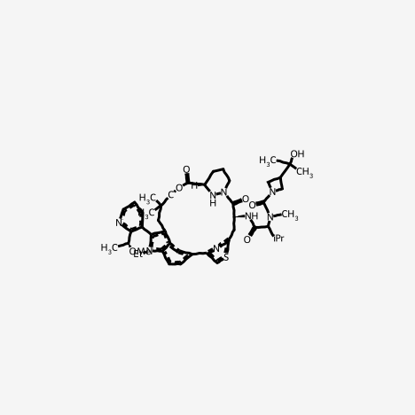 CCn1c(-c2cccnc2[C@H](C)OC)c2c3cc(ccc31)-c1csc(n1)C[C@H](NC(=O)C(C(C)C)N(C)C(=O)N1CC(C(C)(C)O)C1)C(=O)N1CCC[C@H](N1)C(=O)OCC(C)(C)C2